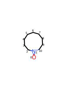 O=[N+]1CCCCCCCCC1